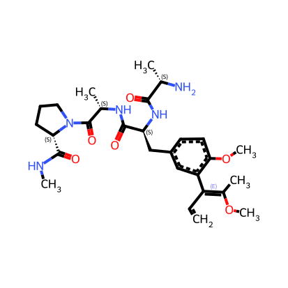 C=C/C(=C(/C)OC)c1cc(C[C@H](NC(=O)[C@H](C)N)C(=O)N[C@@H](C)C(=O)N2CCC[C@H]2C(=O)NC)ccc1OC